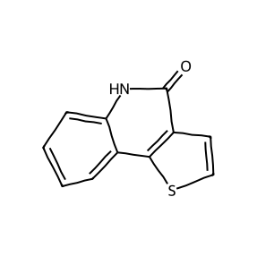 O=c1[nH]c2ccccc2c2sccc12